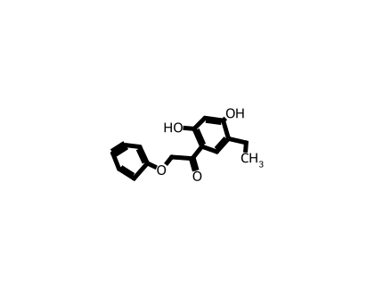 CCc1cc(C(=O)COc2cc#ccc2)c(O)cc1O